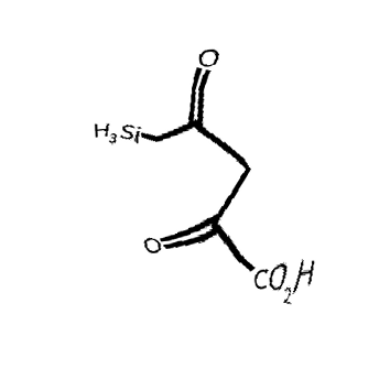 O=C([SiH3])CC(=O)C(=O)O